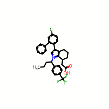 CCCC(c1ccc(C(F)(F)F)cc1)n1cc(-c2ccc(Cl)cc2-c2ccccc2)c2c1C(CC(=O)O)CCC2